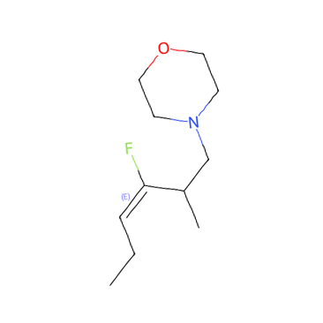 CC/C=C(/F)C(C)CN1CCOCC1